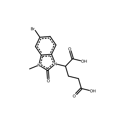 Cn1c(=O)n(C(CCC(=O)O)C(=O)O)c2ccc(Br)cc21